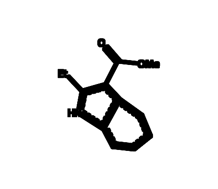 CCc1[nH]c2ccccc2c1C(=O)OC